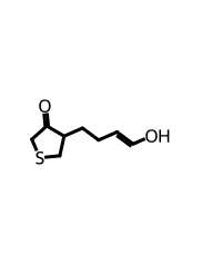 O=C1CSCC1CC/C=C/O